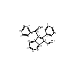 O=CC1C(c2ccccc2)=C(C(=O)c2ccccc2)c2ccccc21